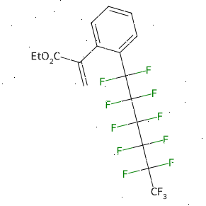 C=C(C(=O)OCC)c1ccccc1C(F)(F)C(F)(F)C(F)(F)C(F)(F)C(F)(F)C(F)(F)F